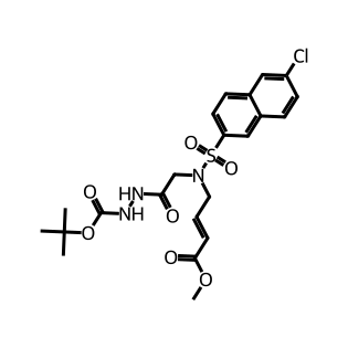 COC(=O)C=CCN(CC(=O)NNC(=O)OC(C)(C)C)S(=O)(=O)c1ccc2cc(Cl)ccc2c1